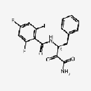 NC(=O)C(=O)[C@H](Cc1ccccc1)NC(=O)c1c(F)cc(F)cc1F